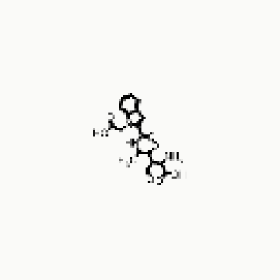 CC(NC(=O)c1cc2ccccc2n1CC(=O)O)C(=O)C(C=O)C(N)C(=O)O